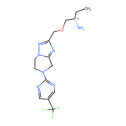 CC[C@H](N)COCc1nc2n(n1)CCN(c1ncc(C(F)(F)F)cn1)C2